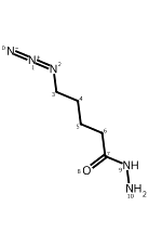 [N-]=[N+]=NCCCCC(=O)NN